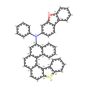 c1ccc(N(c2ccc3c(c2)oc2ccccc23)c2cc3ccc4ccc5sc6ccccc6c5c4c3c3ccccc23)cc1